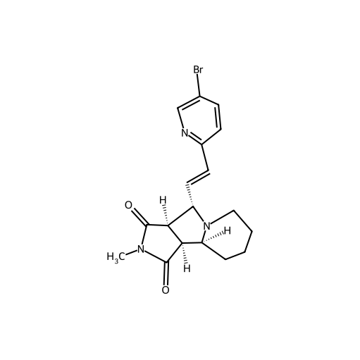 CN1C(=O)[C@@H]2[C@H](C1=O)[C@@H]1CCCCN1[C@H]2/C=C/c1ccc(Br)cn1